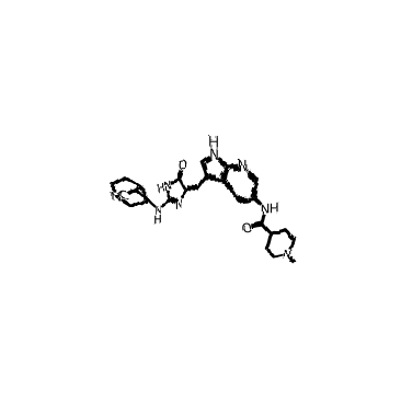 CN1CCC(C(=O)Nc2cnc3[nH]cc(C=C4N=C(NC5CN6CCC5CC6)NC4=O)c3c2)CC1